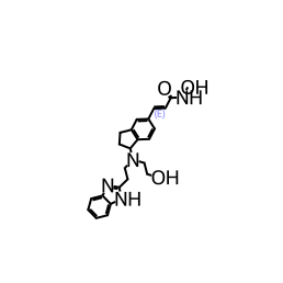 O=C(/C=C/c1ccc2c(c1)CCC2N(CCO)CCc1nc2ccccc2[nH]1)NO